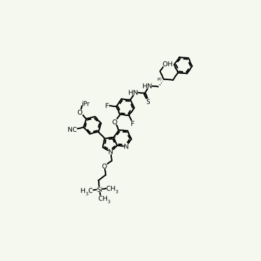 CC(C)Oc1ccc(-c2cn(COCC[Si](C)(C)C)c3nccc(Oc4c(F)cc(NC(=S)NC[C@H](CO)Cc5ccccc5)cc4F)c23)cc1C#N